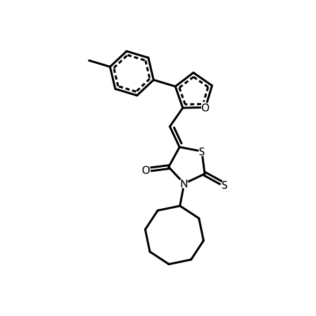 Cc1ccc(-c2ccoc2C=C2SC(=S)N(C3CCCCCCC3)C2=O)cc1